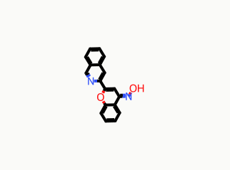 ON=c1cc(-c2cc3ccccc3cn2)oc2ccccc12